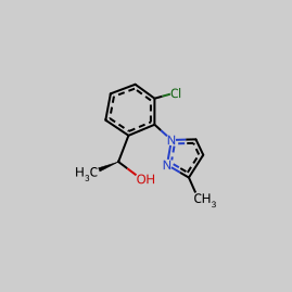 Cc1ccn(-c2c(Cl)cccc2[C@H](C)O)n1